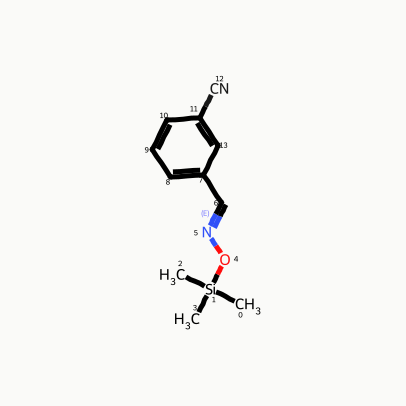 C[Si](C)(C)O/N=C/c1cccc(C#N)c1